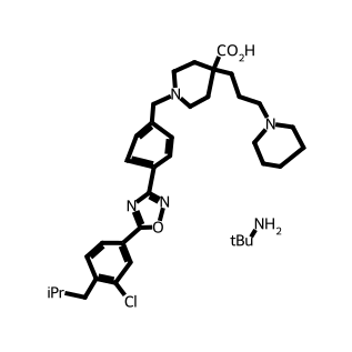 CC(C)(C)N.CC(C)Cc1ccc(-c2nc(-c3ccc(CN4CCC(CCCN5CCCCC5)(C(=O)O)CC4)cc3)no2)cc1Cl